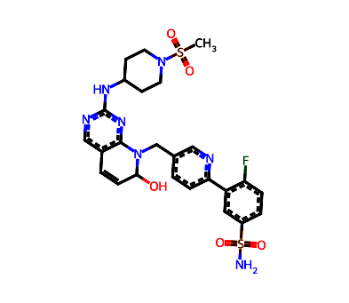 CS(=O)(=O)N1CCC(Nc2ncc3c(n2)N(Cc2ccc(-c4cc(S(N)(=O)=O)ccc4F)nc2)C(O)C=C3)CC1